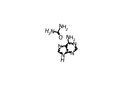 NC(N)=O.Nc1ncnc2[nH]cnc12